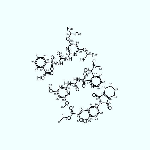 CCOC(=O)/C(Cl)=C/c1cc(N2C(=O)C3=C(CCCC3)C2=O)ccc1Cl.COc1cc(OC)nc(NC(=O)NS(=O)(=O)c2ncccc2C(=O)N(C)C)n1.O=C(Nc1nc(OC(F)F)cc(OC(F)F)n1)NS(=O)(=O)c1ccccc1C(=O)O